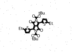 CCc1ccc(C2=C3C(=O)N(C(=O)OC(C)(C)C)C(c4ccc(CC)s4)=C3C(=O)N2C(=O)OC(C)(C)C)s1